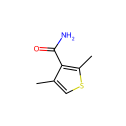 Cc1csc(C)c1C(N)=O